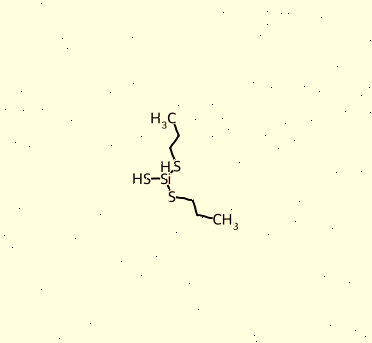 CCCS[SiH](S)SCCC